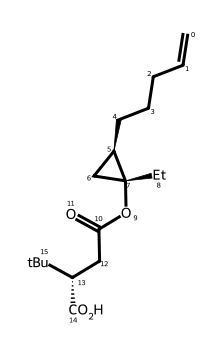 C=CCCC[C@@H]1C[C@@]1(CC)OC(=O)C[C@H](C(=O)O)C(C)(C)C